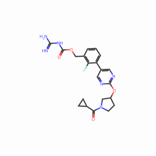 N=C(N)NC(=O)OCc1cccc(-c2cnc(OC3CCN(C(=O)C4CC4)C3)nc2)c1F